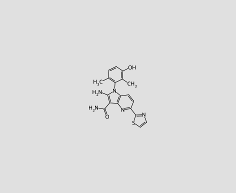 Cc1ccc(O)c(C)c1-n1c(N)c(C(N)=O)c2nc(-c3nccs3)ccc21